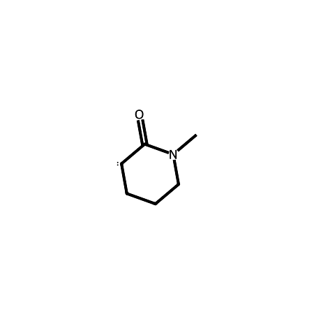 CN1CCC[C]C1=O